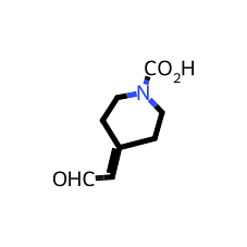 O=CC=C1CCN(C(=O)O)CC1